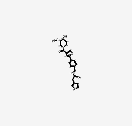 O=C(Cc1ccsc1)NCc1ccc(-c2nc(C(=O)N3CC[C@@H](O)[C@@H](CO)C3)co2)cc1